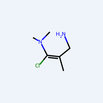 CC(CN)=C(Cl)N(C)C